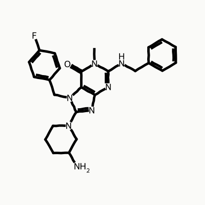 Cn1c(NCc2ccccc2)nc2nc(N3CCCC(N)C3)n(Cc3ccc(F)cc3)c2c1=O